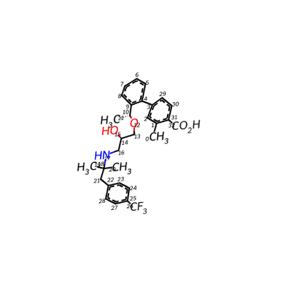 Cc1cc(-c2ccccc2[C@@H](C)OC[C@H](O)CNC(C)(C)Cc2ccc(C(F)(F)F)cc2)ccc1C(=O)O